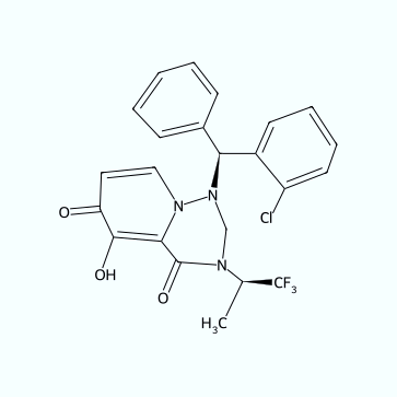 C[C@@H](N1CN([C@@H](c2ccccc2)c2ccccc2Cl)n2ccc(=O)c(O)c2C1=O)C(F)(F)F